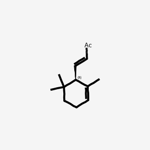 CC(=O)C=C[C@H]1C(C)=CCCC1(C)C